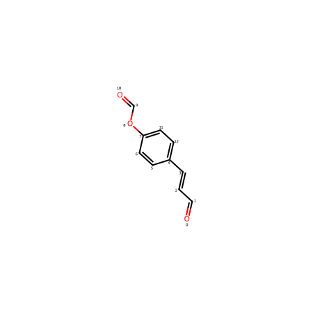 O=CC=Cc1ccc(OC=O)cc1